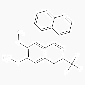 COc1cc2c(cc1OC)CC(C(F)(F)F)N=C2.c1ccc2ncccc2c1